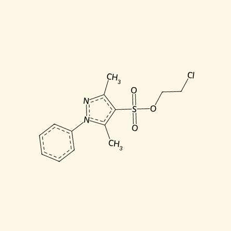 Cc1nn(-c2ccccc2)c(C)c1S(=O)(=O)OCCCl